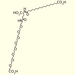 O=C(O)CCCCCCCCCCCCCCCCC(=O)N[C@@H](CCC(=O)NCCOCCOCCOCCOCCOCCOCCOCCOCCC(=O)O)C(=O)O